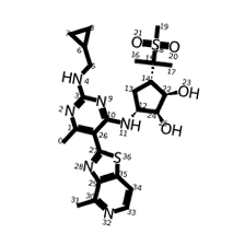 Cc1nc(NCC2CC2)nc(N[C@@H]2C[C@H](C(C)(C)S(C)(=O)=O)[C@@H](O)[C@H]2O)c1-c1nc2c(C)nccc2s1